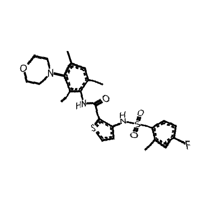 Cc1cc(F)ccc1S(=O)(=O)Nc1ccsc1C(=O)Nc1c(C)cc(C)c(N2CCOCC2)c1C